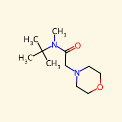 CN(C(=O)CN1CCOCC1)C(C)(C)C